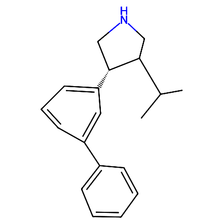 CC(C)C1CNC[C@H]1c1cccc(-c2ccccc2)c1